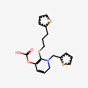 O=C(O)OC1=C(SCCCc2cccs2)N(Cc2cccs2)CC=C1